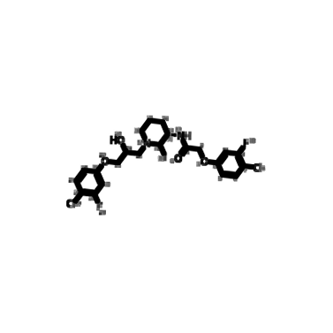 O=C(COc1ccc(Cl)c(F)c1)N[C@H]1CCCN(CC(O)COc2ccc(Cl)c(F)c2)C1I